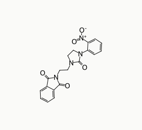 O=C1c2ccccc2C(=O)N1CCN1CCN(c2ccccc2[N+](=O)[O-])C1=O